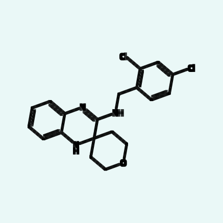 Clc1ccc(CNC2=Nc3ccccc3NC23CCOCC3)c(Cl)c1